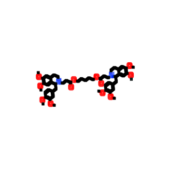 COc1ccc(CC2c3cc(OC)c(OC)cc3CCN2CCC(=O)OCCCCCOC(=O)CCN2CCc3cc(OC)c(OC)cc3C2Cc2ccc(OC)c(OC)c2)cc1OC